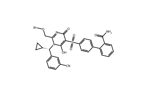 CC(C)OCc1nc(=O)c(S(=O)(=O)c2ccc(-c3ccccc3C(N)=O)cc2)c(O)n1[C@H](c1cccc(C#N)c1)C1CC1